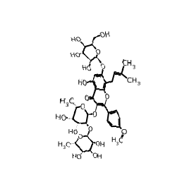 COc1ccc(-c2oc3c(CC=C(C)C)c(O[C@@H]4O[C@H](CO)[C@H](O)[C@@H](O)[C@@H]4O)cc(O)c3c(=O)c2O[C@@H]2O[C@@H](C)[C@@H](O)[C@@H](O)[C@@H]2O[C@@H]2O[C@@H](C)[C@@H](O)[C@H](O)[C@@H]2O)cc1